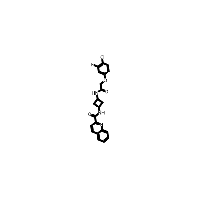 O=C(COc1ccc(Cl)c(F)c1)NC1CC(NC(=O)c2ccc3ccccc3n2)C1